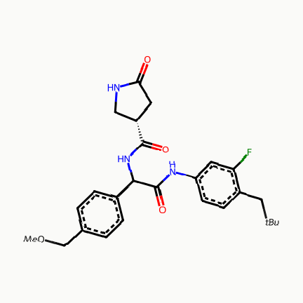 COCc1ccc(C(NC(=O)[C@@H]2CNC(=O)C2)C(=O)Nc2ccc(CC(C)(C)C)c(F)c2)cc1